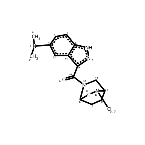 CN(C)c1ccc2[nH]nc(C(=O)N3CC4CCC3CN4C)c2c1